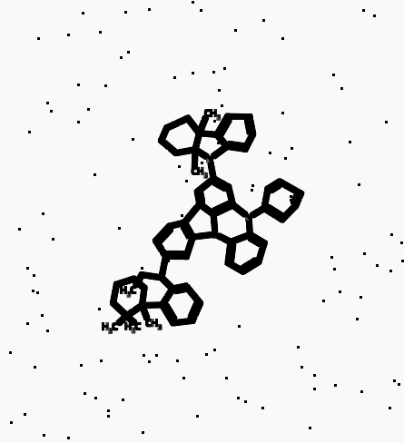 CCC(c1ccc2c(c1)B1c3ccccc3N(c3ccccc3)c3cc(N4c5ccccc5C5(C)CCCCC45C)cc-2c31)c1ccccc1C1(C)CCCCC1(C)C